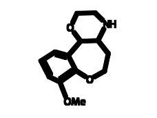 COc1cccc2c1OCCC1NCCOC21